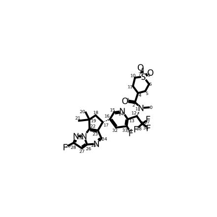 CN(C(=O)C1CCS(=O)(=O)CC1)[C@@H](c1ncc([C@H]2CC(C)(C)c3c2cnc2cc(F)nn32)cc1F)C(F)(F)F